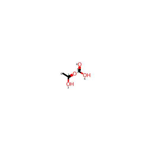 CC(=O)O.O=CO